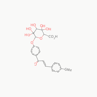 COc1ccc(C=CC(=O)c2ccc(OC3OC(C(=O)O)C(O)(O)C(O)C3(O)O)cc2)cc1